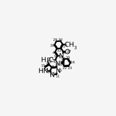 CC1=c2c(cc([C@H](C)Nc3ncnc4[nH]cc(F)c34)n(-c3ccccc3)c2=O)=CCC1